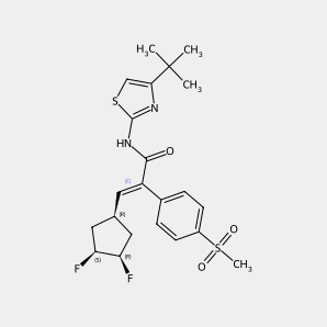 CC(C)(C)c1csc(NC(=O)/C(=C/[C@H]2C[C@@H](F)[C@@H](F)C2)c2ccc(S(C)(=O)=O)cc2)n1